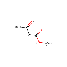 CCCCCOC(=O)CC(=O)OC